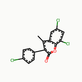 Cc1c(-c2ccc(Cl)cc2)c(=O)oc2c(Cl)cc(Cl)cc12